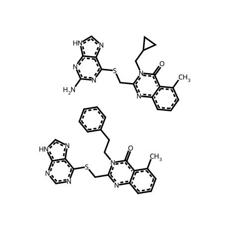 Cc1cccc2nc(CSc3nc(N)nc4[nH]cnc34)n(CC3CC3)c(=O)c12.Cc1cccc2nc(CSc3ncnc4[nH]cnc34)n(CCc3ccccc3)c(=O)c12